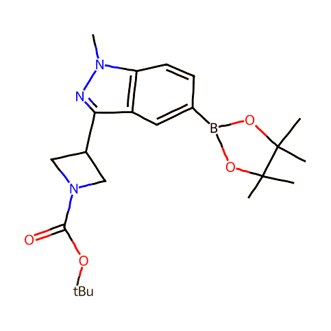 Cn1nc(C2CN(C(=O)OC(C)(C)C)C2)c2cc(B3OC(C)(C)C(C)(C)O3)ccc21